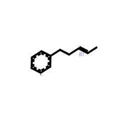 C/C=C/CCc1c[c]ccc1